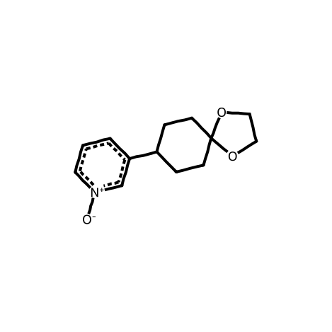 [O-][n+]1cccc(C2CCC3(CC2)OCCO3)c1